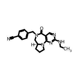 CCNc1ncc2c(n1)N1CCC[C@H]1CN(Cc1ccc(C#N)cc1)C2=O